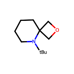 CC(C)(C)N1CCCCC12COC2